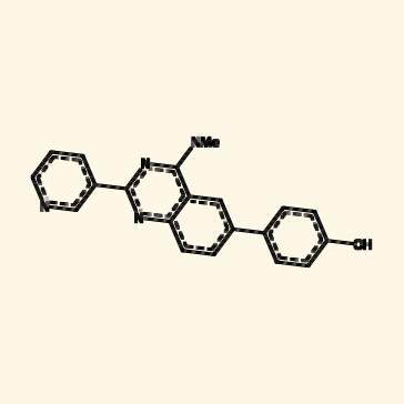 CNc1nc(-c2cccnc2)nc2ccc(-c3ccc(O)cc3)cc12